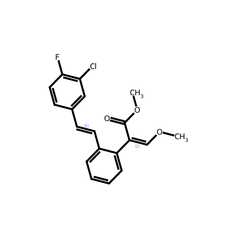 CO/C=C(\C(=O)OC)c1ccccc1/C=C/c1ccc(F)c(Cl)c1